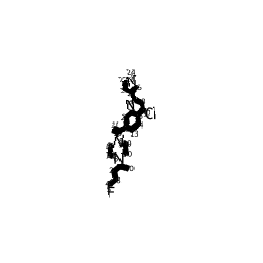 C=C(CCCF)N1CCN(C(=C)c2ccc3c(Cl)cc(-c4ccn(C)c4)nc3c2)CC1